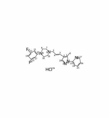 Cc1c(/C=C/CN2CCN(c3cc(F)cc(F)c3)CC2)cnn1-c1ccccn1.Cl